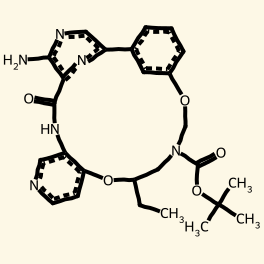 CCC1CN(C(=O)OC(C)(C)C)COc2cccc(c2)-c2cnc(N)c(n2)C(=O)Nc2cnccc2O1